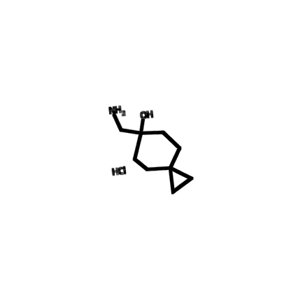 Cl.NCC1(O)CCC2(CC1)CC2